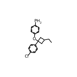 CCC1CC(Oc2ccc(P)cc2)(c2ccc(Cl)cc2)C1